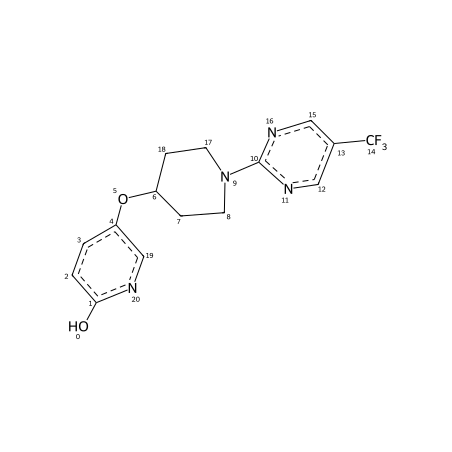 Oc1ccc(OC2CCN(c3ncc(C(F)(F)F)cn3)CC2)cn1